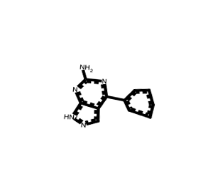 Nc1nc(-c2ccccc2)c2cn[nH]c2n1